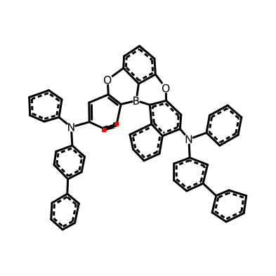 C1=CC2C(N(c3ccccc3)c3ccc(-c4ccccc4)cc3)=CC3=C(B4c5c(cccc5Oc5cc(N(c6ccccc6)c6cccc(-c7ccccc7)c6)c6ccccc6c54)O3)C2C=C1